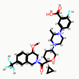 COC1CN(C(=O)[C@@]2(C3CC3)CC[C@@H](N3CCN(c4ccc(F)c(C(=O)O)c4)C(C)C3)CO2)Cc2cc(C(F)(F)F)ccc21